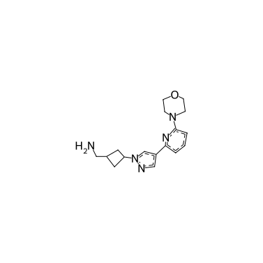 NCC1CC(n2cc(-c3cccc(N4CCOCC4)n3)cn2)C1